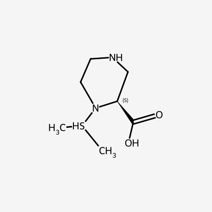 C[SH](C)N1CCNC[C@H]1C(=O)O